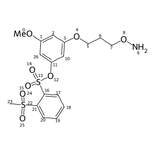 COc1cc(OCCCON)cc(OS(=O)(=O)c2ccccc2S(C)(=O)=O)c1